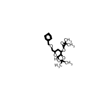 CC1(C)OC2C(OC3OC3(C)C)CC(COCc3ccccc3)O[C@@H]2O1